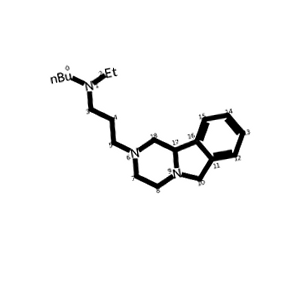 CCCCN(CC)CCCN1CCN2Cc3ccccc3C2C1